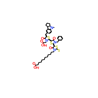 CN1c2ccc(/C=c3\s/c(=c4/s/c(=C5/SC(=S)N(CCCCCCCCCCCC(=O)O)C5=O)n(Cc5ccccc5)c4=O)n(CC(=O)O)c3=O)cc2C2CCCC21